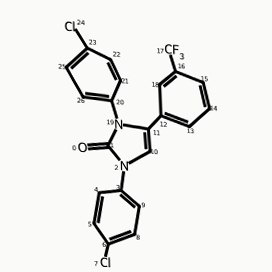 O=c1n(-c2ccc(Cl)cc2)cc(-c2cccc(C(F)(F)F)c2)n1-c1ccc(Cl)cc1